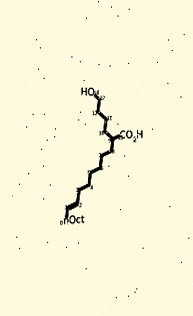 CCCCCCCCC=CCCCCCCC(CCCCO)C(=O)O